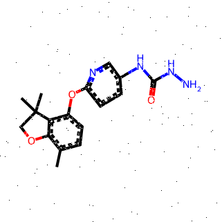 Cc1ccc(Oc2ccc(NC(=O)NN)cn2)c2c1OCC2(C)C